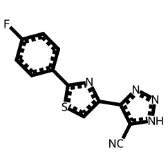 N#Cc1[nH]nnc1-c1csc(-c2ccc(F)cc2)n1